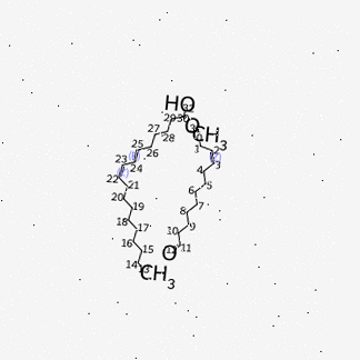 CC/C=C\CCCCCCCC=O.CCCCCCCCC/C=C\C=C\CCCCC(=O)O